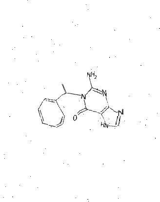 CC(c1ccccc1)n1c(N)nc2nc[nH]c2c1=O